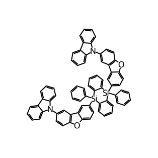 c1ccc([Si]2(c3ccc4oc5ccc(-n6c7ccccc7c7ccccc76)cc5c4c3)c3ccccc3[Si](c3ccccc3)(c3ccc4oc5ccc(-n6c7ccccc7c7ccccc76)cc5c4c3)c3ccccc32)cc1